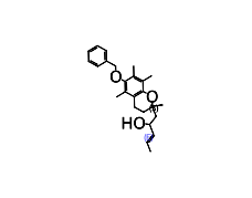 C/C=C/C(O)C[C@]1(C)CCc2c(C)c(OCc3ccccc3)c(C)c(C)c2O1